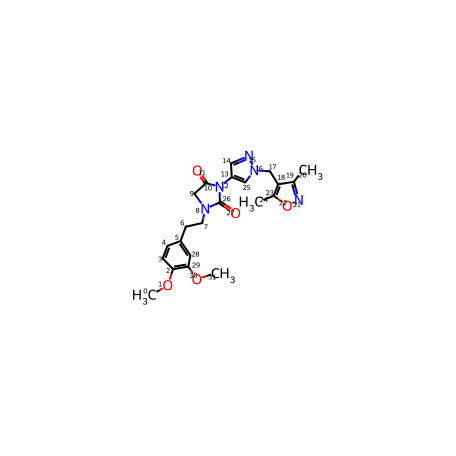 COc1ccc(CCN2CC(=O)N(c3cnn(Cc4c(C)noc4C)c3)C2=O)cc1OC